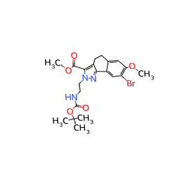 COC(=O)c1c2c(nn1CCNC(=O)OC(C)(C)C)-c1cc(Br)c(OC)cc1CC2